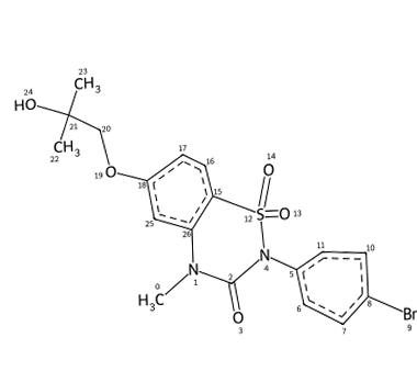 CN1C(=O)N(c2ccc(Br)cc2)S(=O)(=O)c2ccc(OCC(C)(C)O)cc21